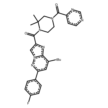 CC(C)(C)c1cc(-c2ccc(F)cc2)nn2cc(C(=O)N3CCN(C(=O)c4ccncn4)CC3(C)C)nc12